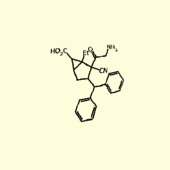 CCC12C(CC(C(c3ccccc3)c3ccccc3)C1(C#N)C(=O)CN)C2C(=O)O